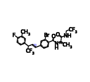 Cc1cc(C(/C=C/c2ccc(C(=O)N[C@H](C)C(=O)NCC(F)(F)F)c(Br)c2)C(F)(F)F)ccc1F